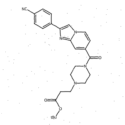 CC(C)(C)OC(=O)CCN1CCN(C(=O)c2ccn3cc(-c4ccc(C#N)cc4)nc3c2)CC1